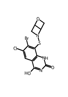 O=c1nc(O)c2cc(Cl)c(Br)c(SN3CC4OCC43)c2[nH]1